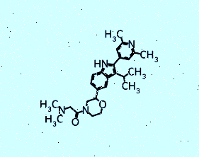 Cc1cc(-c2[nH]c3ccc(C4CN(C(=O)CN(C)C)CCO4)cc3c2C(C)C)cc(C)n1